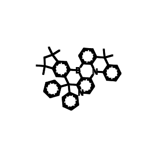 CC1(C)CC(C)(C)c2cc3c(cc21)B1c2cccc4c2N(c2ccccc2C4(C)C)c2ccnc(c21)C3(c1ccccc1)c1ccccc1